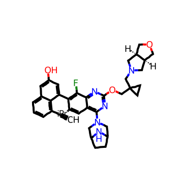 C#Cc1cccc2cc(O)cc(-c3c(C(C)C)cc4c(N5CC6CCC(C5)N6)nc(OCC5(CN6C[C@H]7COC[C@H]7C6)CC5)nc4c3F)c12